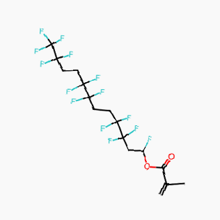 C=C(C)C(=O)OC(F)CC(F)(F)C(F)(F)CCC(F)(F)C(F)(F)CCC(F)(F)C(F)(F)F